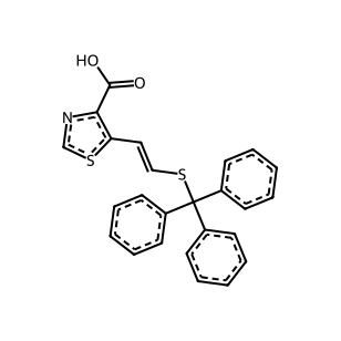 O=C(O)c1ncsc1C=CSC(c1ccccc1)(c1ccccc1)c1ccccc1